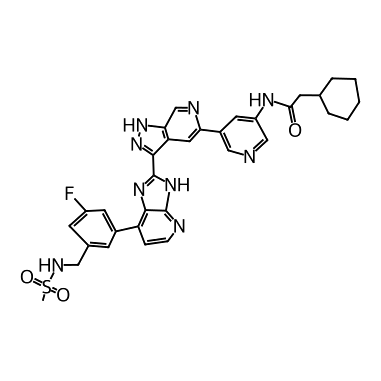 CS(=O)(=O)NCc1cc(F)cc(-c2ccnc3[nH]c(-c4n[nH]c5cnc(-c6cncc(NC(=O)CC7CCCCC7)c6)cc45)nc23)c1